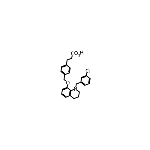 O=C(O)CCc1ccc(COc2cccc3c2N(Cc2cccc(Cl)c2)CCC3)cc1